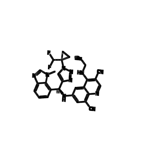 Cn1cnc2cccc([C@H](Nc3cc(C#N)c4ncc(C#N)c(NCC(C)(C)C)c4c3)c3cn(C4(C(F)F)CC4)nn3)c21